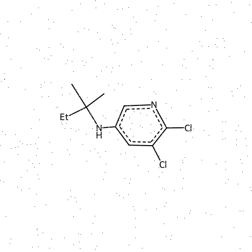 CCC(C)(C)Nc1cnc(Cl)c(Cl)c1